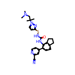 CN(C)CC(C)(C)n1ccc(SNC(=O)Nc2c(-c3ccnc(C#N)c3)ccc3c2CCC3)n1